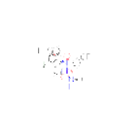 CC(C)NC(=O)Oc1cc(C(Cc2ccccc2)(NC(=O)c2cccc(C(F)(F)F)c2)c2cc(F)cc(C(F)(F)F)c2)ccc1F